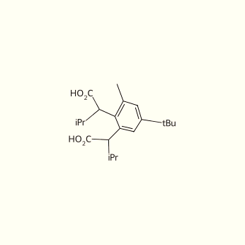 Cc1cc(C(C)(C)C)cc(C(C(=O)O)C(C)C)c1C(C(=O)O)C(C)C